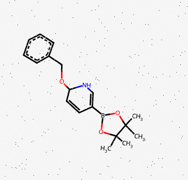 CC1(C)OB(C2=CNC(OCc3ccccc3)C=C2)OC1(C)C